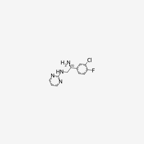 N[C@H](CNc1ncccn1)c1ccc(F)c(Cl)c1